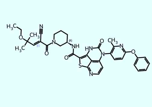 CCOC(C)(C)/C=C(\C#N)C(=O)N1CCC[C@@H](NC(=O)c2sc3nccc4c3c2NC(=O)N4c2ccc(Oc3ccccc3)nc2C)C1